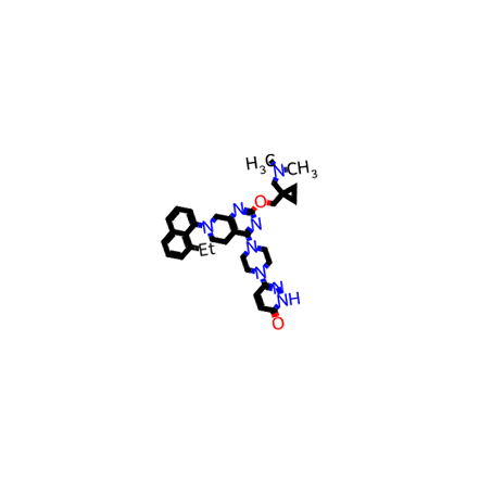 CCc1cccc2cccc(N3CCc4c(nc(OCC5(CN(C)C)CC5)nc4N4CCN(c5ccc(=O)[nH]n5)CC4)C3)c12